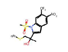 CCCSCC(C)(O)c1cc2cc([N+](=O)[O-])c(C(F)(F)F)cc2n1S(C)(=O)=O